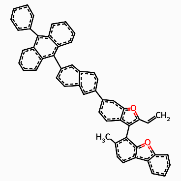 C=Cc1oc2cc(-c3ccc4cc(-c5c6ccccc6c(-c6ccccc6)c6ccccc56)ccc4c3)ccc2c1-c1c(C)ccc2c1oc1ccccc12